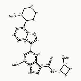 CNc1cc(-c2cnc3n([C@@H]4CCOC[C@H]4OC)cccc2-3)nc2c(C(=O)N[C@H]3CC[C@@H]3OC)cnn12